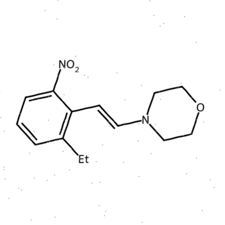 CCc1cccc([N+](=O)[O-])c1C=CN1CCOCC1